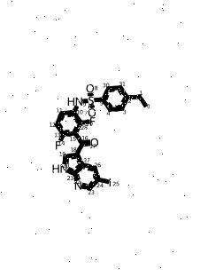 CCc1ccc(S(=O)(=O)Nc2ccc(F)c(C(=O)c3c[nH]c4ncc(I)cc34)c2F)cc1